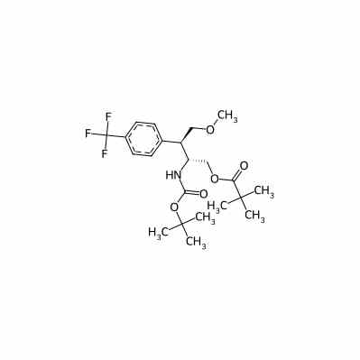 COC[C@H](c1ccc(C(F)(F)F)cc1)[C@H](COC(=O)C(C)(C)C)NC(=O)OC(C)(C)C